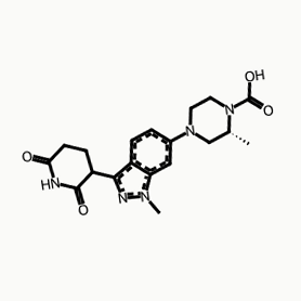 C[C@@H]1CN(c2ccc3c(C4CCC(=O)NC4=O)nn(C)c3c2)CCN1C(=O)O